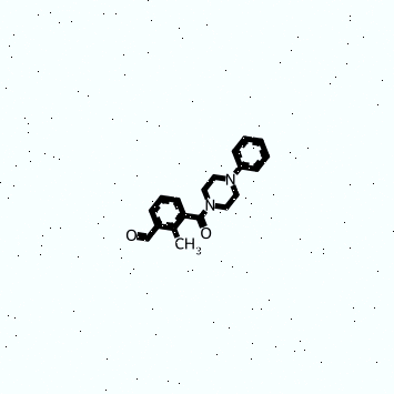 Cc1c(C=O)cccc1C(=O)N1CCN(c2ccccc2)CC1